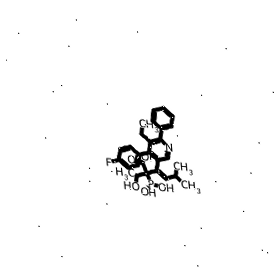 CCc1c(-c2ccccc2)ncc(C(=CC(C)C)C(C(=O)O)(C(C)O)[PH](=O)O)c1-c1ccc(F)cc1